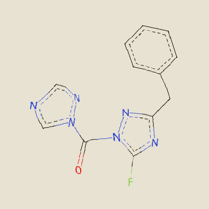 O=C(n1cncn1)n1nc(Cc2ccccc2)nc1F